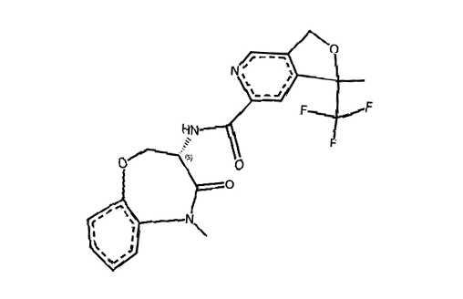 CN1C(=O)[C@@H](NC(=O)c2cc3c(cn2)COC3(C)C(F)(F)F)COc2ccccc21